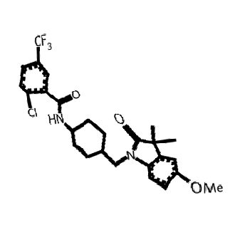 COc1ccc2c(c1)C(C)(C)C(=O)N2CC1CCC(NC(=O)c2cc(C(F)(F)F)ccc2Cl)CC1